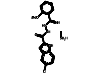 COc1ccccc1C(=N)NNC(=O)c1cc2cc(Cl)ccc2[nH]1.CS(=O)(=O)O